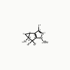 CC(C)(C)n1nc(I)c2c1C(F)(F)[C@@H]1CC21